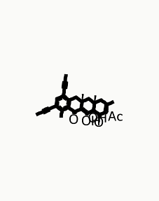 CC#Cc1cc(C#CC)c2c(c1C)C(=O)C1=C(O)[C@@]3(O)C(=O)C(C(C)=O)=C(C)C[C@@]3(C)C[C@@]1(C)C2